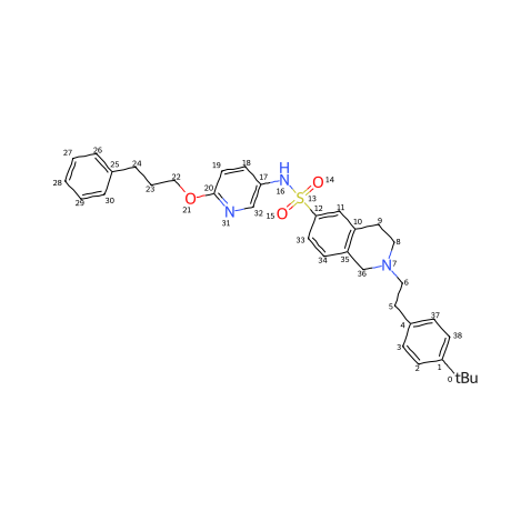 CC(C)(C)c1ccc(CCN2CCc3cc(S(=O)(=O)Nc4ccc(OCCCc5ccccc5)nc4)ccc3C2)cc1